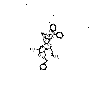 COCCO[C@@H]1[C@H](O[Si](c2ccccc2)(c2ccccc2)C(C)(C)C)[C@@H](C=O)O[C@H]1n1cc(C)c(=O)n(COCc2ccccc2)c1=O